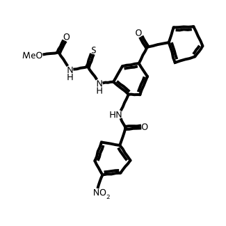 COC(=O)NC(=S)Nc1cc(C(=O)c2ccccc2)ccc1NC(=O)c1ccc([N+](=O)[O-])cc1